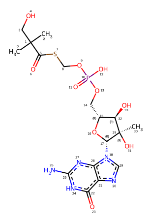 CC(C)(CO)C(=O)SCOP(=O)(O)OC[C@H]1O[C@@H](n2cnc3c(=O)[nH]c(N)nc32)[C@](C)(O)[C@@H]1O